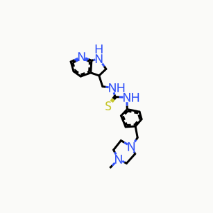 CN1CCN(Cc2ccc(NC(=S)NCC3CNc4ncccc43)cc2)CC1